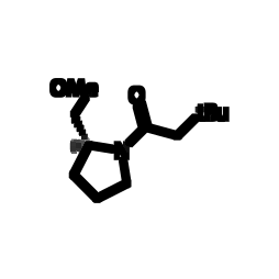 COC[C@H]1CCCN1C(=O)CC(C)(C)C